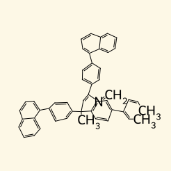 C=N/C(=C\C(C)(c1ccc(C(/C=C\C)=C/C)cc1)c1ccc(-c2cccc3ccccc23)cc1)c1ccc(-c2cccc3ccccc23)cc1